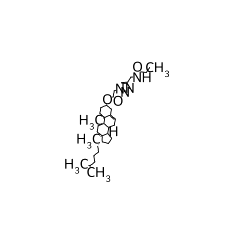 CCC(=O)NCc1cn(CC(=O)O[C@H]2CCC3(C)C(=CC[C@@H]4C3CC[C@@]3(C)C4CC[C@@H]3CCCCC(C)C)C2)nn1